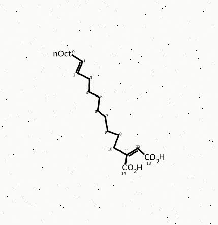 CCCCCCCCC=CCCCCCCCCC(=CC(=O)O)C(=O)O